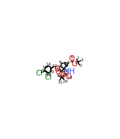 CC(C)(C)OC(=O)[C@H]1C2C[C@@H](OCc3ccc(Cl)c(Cl)c3)[C@@](NC=O)(C(=O)OC(C)(C)C)C21